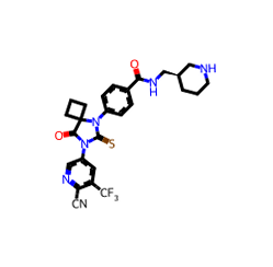 N#Cc1ncc(N2C(=O)C3(CCC3)N(c3ccc(C(=O)NC[C@@H]4CCCNC4)cc3)C2=S)cc1C(F)(F)F